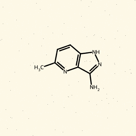 Cc1ccc2[nH]nc(N)c2n1